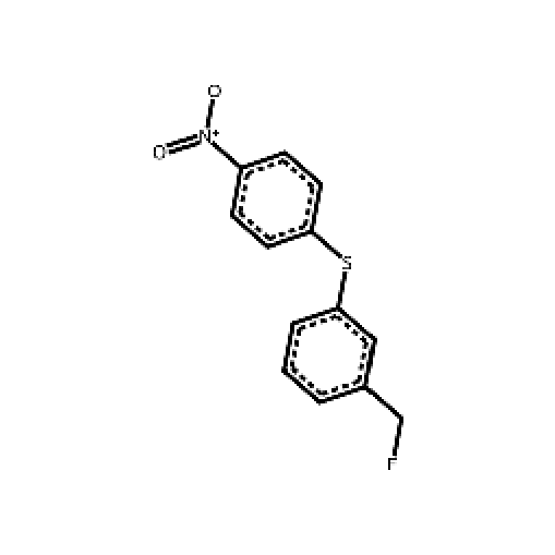 O=[N+]([O-])c1ccc(Sc2cccc(CF)c2)cc1